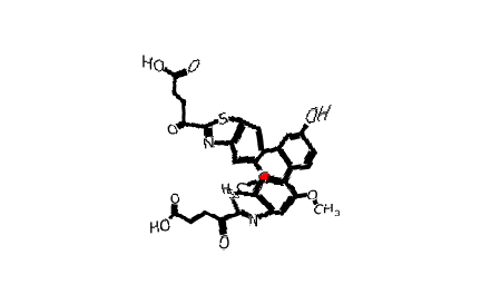 COc1cc2nc(C(=O)CCC(=O)O)sc2cc1-c1ccc(O)cc1-c1cc2sc(C(=O)CCC(=O)O)nc2cc1OC